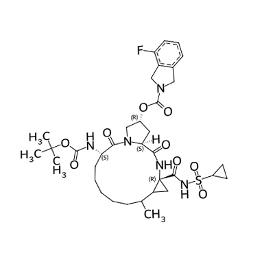 CC1CCCCC[C@H](NC(=O)OC(C)(C)C)C(=O)N2C[C@H](OC(=O)N3Cc4cccc(F)c4C3)C[C@H]2C(=O)N[C@]2(C(=O)NS(=O)(=O)C3CC3)CC12